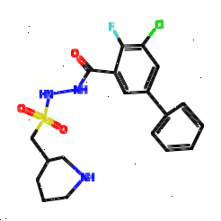 O=C(NNS(=O)(=O)CC1CCCNC1)c1cc(-c2ccccc2)cc(Cl)c1F